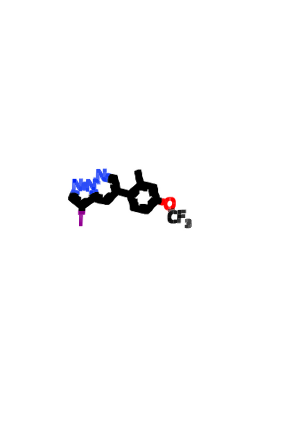 Cc1cc(OC(F)(F)F)ccc1-c1cnn2ncc(I)c2c1